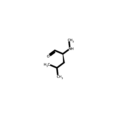 CN[C@H]([C]=O)CC(C)C